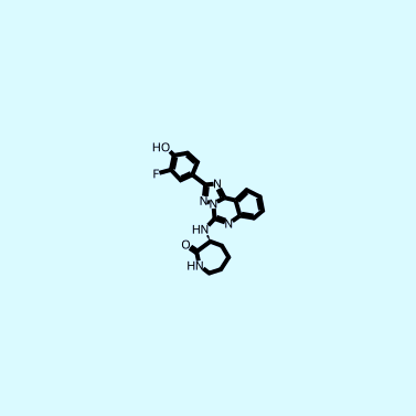 O=C1NCCCC[C@H]1Nc1nc2ccccc2c2nc(-c3ccc(O)c(F)c3)nn12